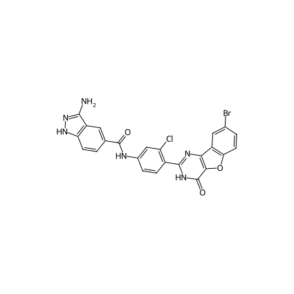 Nc1n[nH]c2ccc(C(=O)Nc3ccc(-c4nc5c(oc6ccc(Br)cc65)c(=O)[nH]4)c(Cl)c3)cc12